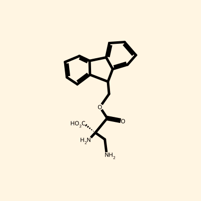 NC[C@](N)(C(=O)O)C(=O)OCC1c2ccccc2-c2ccccc21